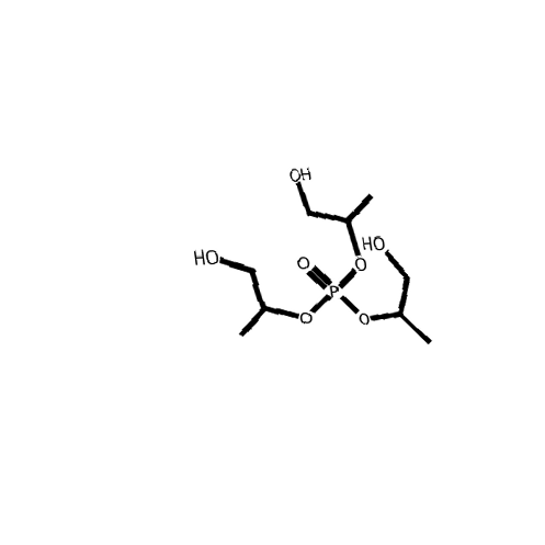 CC(CO)OP(=O)(OC(C)CO)OC(C)CO